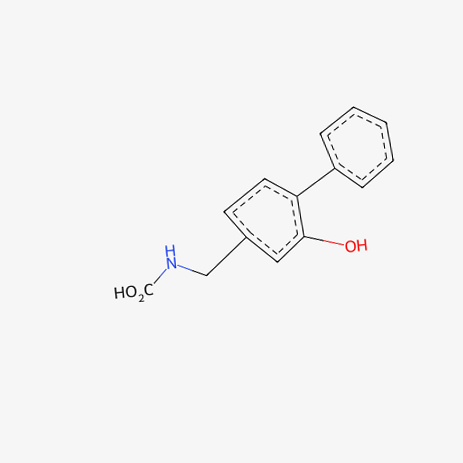 O=C(O)NCc1ccc(-c2ccccc2)c(O)c1